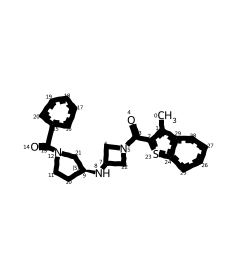 Cc1c(C(=O)N2CC(N[C@H]3CCN(C(=O)c4ccccc4)C3)C2)sc2ccccc12